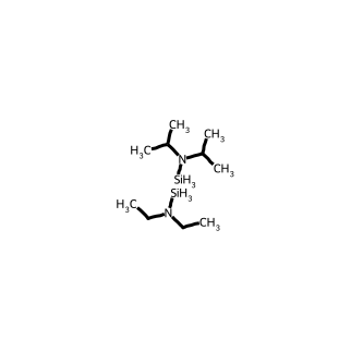 CC(C)N([SiH3])C(C)C.CCN([SiH3])CC